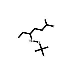 CCC(CCC(F)F)NSC(C)(C)C